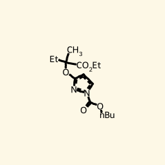 CCCCOC(=O)n1ccc(OC(C)(CC)C(=O)OCC)n1